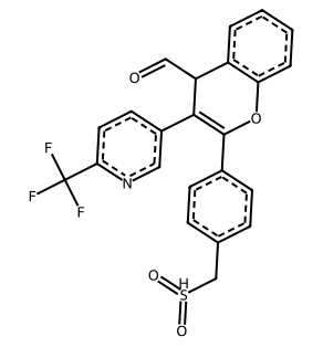 O=CC1C(c2ccc(C(F)(F)F)nc2)=C(c2ccc(C[SH](=O)=O)cc2)Oc2ccccc21